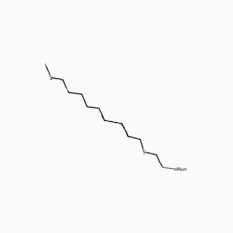 CCCCCCCCCCCSCCCCCCCCCSI